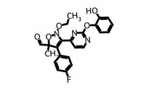 CCON1OC(C)(C=O)C(c2ccc(F)cc2)=C1c1ccnc(Oc2ccccc2O)n1